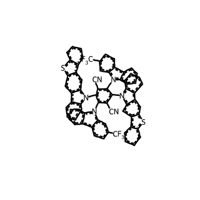 N#Cc1c(-n2c3ccccc3c3ccc(C(F)(F)F)cc32)c(-n2c3ccccc3c3cc4sc5ccccc5c4cc32)c(C#N)c(-n2c3ccccc3c3ccc(C(F)(F)F)cc32)c1-n1c2ccccc2c2cc3sc4ccccc4c3cc21